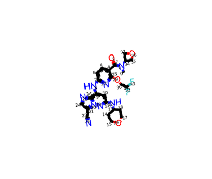 CN(C(=O)c1ccc(Nc2cc(NC3CCOCC3)nn3c(C#N)cnc23)nc1OCC(F)F)C1COC1